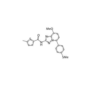 COc1ccc(-c2ccc(SC)cc2)n2nc(NC(=O)c3ccc(C)s3)nc12